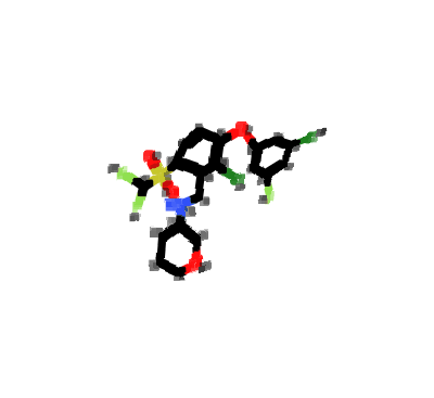 O=S(=O)(c1ccc(Oc2cc(F)cc(Cl)c2)c(Cl)c1CNC1CCCOC1)C(F)F